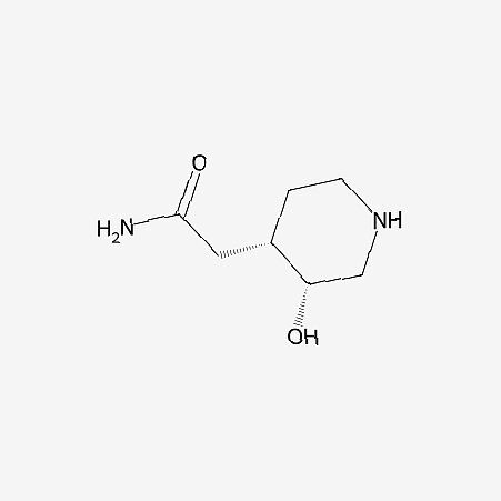 NC(=O)C[C@@H]1CCNC[C@@H]1O